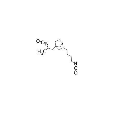 CC(CC12CCC(C1)C(CCCCN=C=O)C2)N=C=O